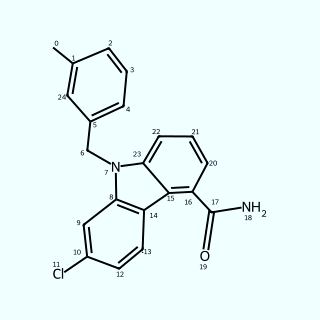 Cc1cccc(Cn2c3cc(Cl)c[c]c3c3c(C(N)=O)cccc32)c1